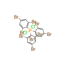 ClP(Cl)(c1c(Br)cc(Br)cc1Br)(c1c(Br)cc(Br)cc1Br)c1c(Br)cc(Br)cc1Br